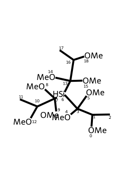 COC(C)C(OC)(OC)[SiH](C(OC)(OC)C(C)OC)C(OC)(OC)C(C)OC